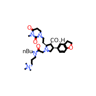 CCCCN(CCC[N+](C)(C)C)C(=O)CN1C[C@H](c2ccc3c(c2)CCO3)[C@@H](C(=O)O)[C@@H]1CCN1CCC(=O)N(C)C1=O